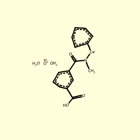 C[N]([Ge][c]1ccccc1)C(=O)c1cccc(C(=O)O)c1.O.O.O